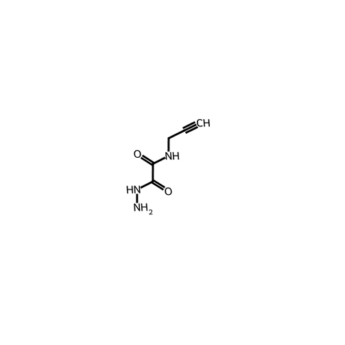 C#CCNC(=O)C(=O)NN